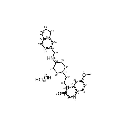 COc1ccc2ncc(=O)n(CCN3CCC(NCc4cc5c(cn4)OCC5)CC3)c2c1.Cl.Cl